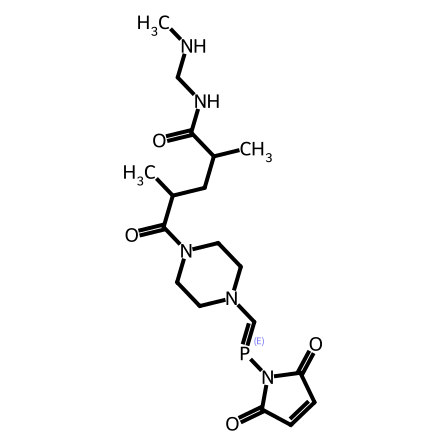 CNCNC(=O)C(C)CC(C)C(=O)N1CCN(/C=P/N2C(=O)C=CC2=O)CC1